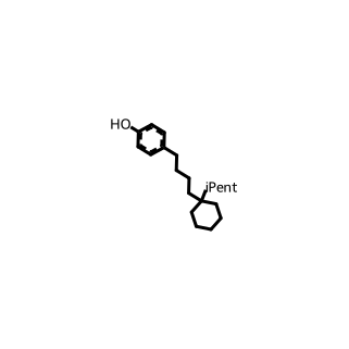 CCCC(C)C1(CCCCc2ccc(O)cc2)CCCCC1